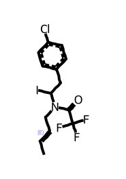 C/C=C/CN(C(=O)C(F)(F)F)C(I)Cc1ccc(Cl)cc1